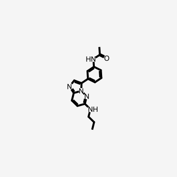 CCCNc1ccc2ncc(-c3cccc(NC(C)=O)c3)n2n1